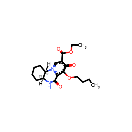 CCCCOc1c2n(cc(C(=O)OCC)c1=O)[C@H]1CCCC[C@@H]1NC2=O